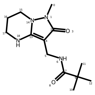 Cn1c(=O)c(CNC(=O)C(C)(C)C)c2n1CCCN2